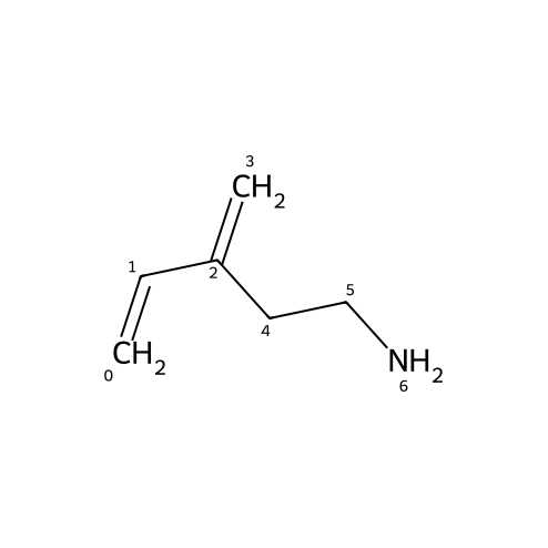 C=CC(=C)CCN